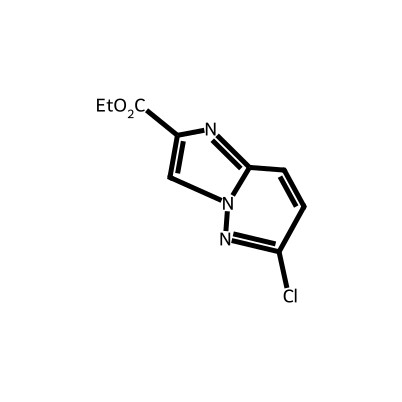 CCOC(=O)c1cn2nc(Cl)ccc2n1